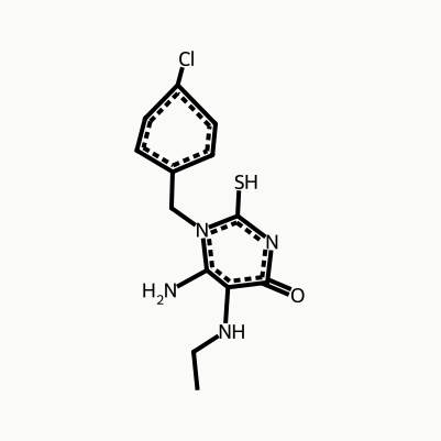 CCNc1c(N)n(Cc2ccc(Cl)cc2)c(S)nc1=O